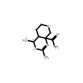 CC1=NC2(C(N)=O)COCCC2C(C)S1